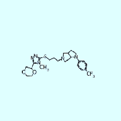 Cn1c(SCCCN2CC3CCN(c4ccc(C(F)(F)F)cc4)C3C2)nnc1C1COCCO1